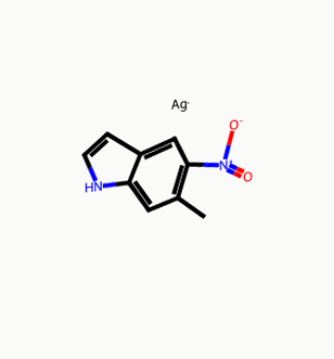 Cc1cc2[nH]ccc2cc1[N+](=O)[O-].[Ag]